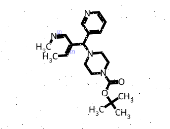 C/C=C(\C=N/C)C(c1cccnc1)N1CCN(C(=O)OC(C)(C)C)CC1